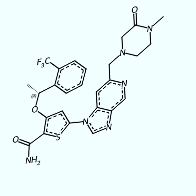 C[C@@H](Oc1cc(-n2cnc3cnc(CN4CCN(C)C(=O)C4)cc32)sc1C(N)=O)c1ccccc1C(F)(F)F